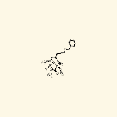 C=CCC(CCOCc1ccccc1)C(=O)C(N=[N+]=[N-])(N=[N+]=[N-])C(=O)OC